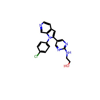 OCCNc1ncc(-c2cc3ccncc3n2-c2ccc(Cl)cc2)cn1